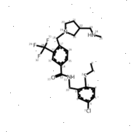 CCSc1ccc(Cl)cc1CNC(=O)c1ccc(CN2CCC(CNC)C2)c(C(F)(F)F)c1